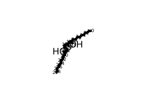 CCCCCCCCCCC(O)Cc1ccc(CC(O)CCCCCCCCCC)s1